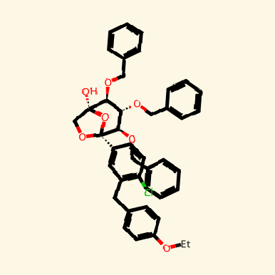 CCOc1ccc(Cc2cc([C@]34OC[C@](O)(O3)[C@@H](OCc3ccccc3)[C@H](OCc3ccccc3)[C@H]4OCc3ccccc3)ccc2Cl)cc1